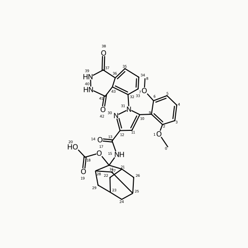 COc1cccc(OC)c1-c1cc(C(=O)NC2(OC(=O)O)C3CC4CC(C3)CC2C4)nn1-c1cccc2c(=O)[nH][nH]c(=O)c12